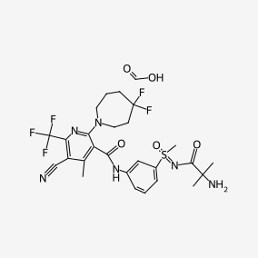 Cc1c(C#N)c(C(F)(F)F)nc(N2CCCC(F)(F)CC2)c1C(=O)Nc1cccc(S(C)(=O)=NC(=O)C(C)(C)N)c1.O=CO